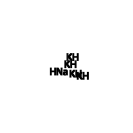 [KH].[KH].[KH].[KH].[NaH]